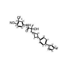 CC(O)(CN1CC(c2ccc(-n3cc(F)cn3)cc2)C1)C(=O)Nc1ccc(C#N)c(C(F)(F)F)c1